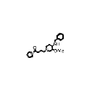 COC1CN(CCCC(=O)N2CCCC2)CCC1NCc1ccccc1